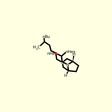 CCCCCCC(CCCCCC)CN1[C@@H]2CC[C@H]1CN(CCCCC(C)CCCC)C2